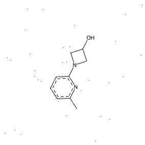 Cc1[c]ccc(N2CC(O)C2)n1